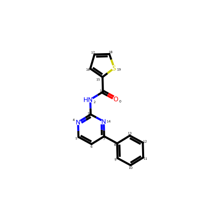 O=C(Nc1nccc(-c2ccccc2)n1)c1cccs1